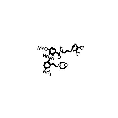 COc1ccc(C(=O)NCCCn2cnc(Cl)c2Cl)c2nc(-c3ccc(N)cc3CCN3CCOCC3)[nH]c12